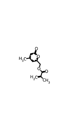 C=C(C)C(=O)OCc1cc(C)cc(=O)o1